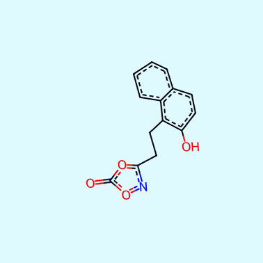 O=c1onc(CCc2c(O)ccc3ccccc23)o1